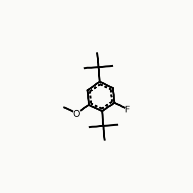 COc1cc(C(C)(C)C)cc(F)c1C(C)(C)C